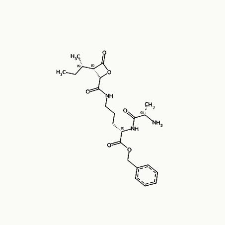 CC[C@H](C)[C@@H]1C(=O)OC1C(=O)NCCC[C@H](NC(=O)[C@H](C)N)C(=O)OCc1ccccc1